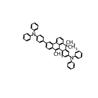 Cc1c2c3c(cccc3c3cc(-c4ccc(N(c5ccccc5)c5ccccc5)cc4)ccc13)C(C)(C)c1cc(N(c3ccccc3)c3ccccc3)ccc1-2